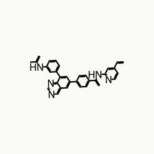 C=Cc1ccnc(NC(=C)c2ccc(-c3cc(-c4cccc(NC(=C)C)c4)c4ncncc4c3)cc2)c1